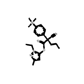 CCCC(C#N)(C(=O)Oc1cc(C)nn1CC)c1ccc([Si](C)(C)C)cc1